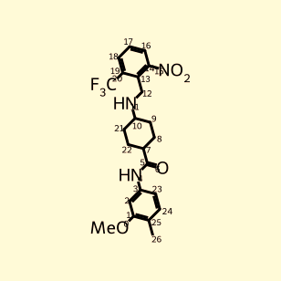 COc1cc(NC(=O)C2CCC(NCc3c([N+](=O)[O-])cccc3C(F)(F)F)CC2)ccc1C